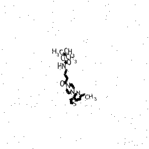 CCc1cc2sccc2c(N2CCN(C(=O)CCCNC(=O)OC(C)(C)C)CC2)n1